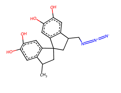 CC1CC2(CC(CN=[N+]=[N-])c3cc(O)c(O)cc32)c2cc(O)c(O)cc21